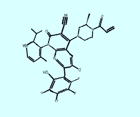 C=CC(=O)N1CCN(c2c(C#N)c(=O)n(C3=C(C)C=CNC3C(C)C)c3nc(-c4c(O)c(Cl)c(Cl)c(F)c4F)c(Cl)cc23)C[C@H]1C